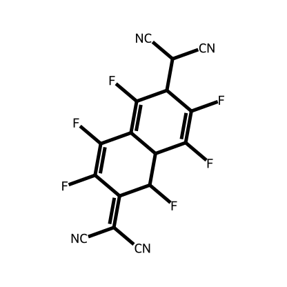 N#CC(C#N)=C1C(F)=C(F)C2=C(F)C(C(C#N)C#N)C(F)=C(F)C2C1F